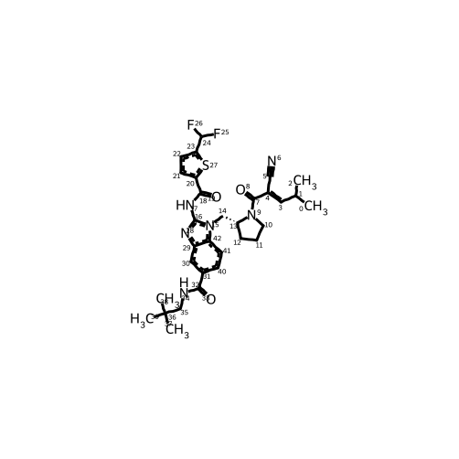 CC(C)/C=C(\C#N)C(=O)N1CCC[C@@H]1Cn1c(NC(=O)c2ccc(C(F)F)s2)nc2cc(C(=O)NCC(C)(C)C)ccc21